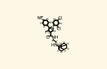 Cc1c(C(=O)NCCNC2C3CC4CC(C3)CC2C4)cn(-c2ccc(Cl)cc2Cl)c1-c1ccc(C#N)cc1